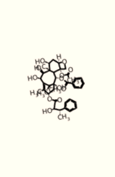 CC(=O)O[C@@]12CO[C@@H]1C[C@H](O)[C@@]1(C)C(=O)[C@H](O)C3=C(C)[C@@H](OC(=O)[C@H](O)[C@@H](C)c4ccccc4)C[C@@](O)([C@@H](OC(=O)c4ccccc4)C12)C3(C)C